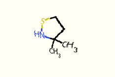 CC1(C)CCSN1